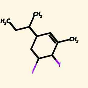 CCC(C)C1C=C(C)C(I)C(I)C1